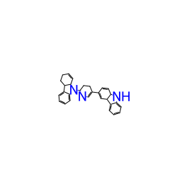 C1=CC2C(CC1)c1ccccc1N2C1=NC=C(C2=CC3c4ccccc4NC3C=C2)CC1